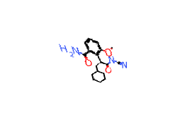 COc1cccc(C(N)=O)c1[C@H](CC1CCCCC1)C(=O)N(C)C#N